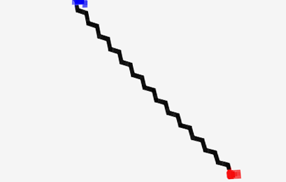 NCCCCCCCCCCCCCCCCCCCCCCCCCCO